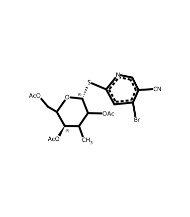 CC(=O)OCC1O[C@H](Sc2cc(Br)c(C#N)cn2)C(OC(C)=O)C(C)[C@H]1OC(C)=O